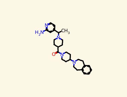 CC(c1ccnc(N)c1)N1CCC(C(=O)N2CCC(N3CCc4ccccc4CC3)CC2)CC1